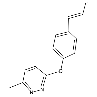 [CH2]/C=C/c1ccc(Oc2ccc(C)nn2)cc1